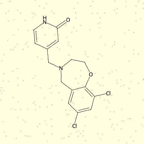 O=c1cc(CN2CCOc3c(Cl)cc(Cl)cc3C2)cc[nH]1